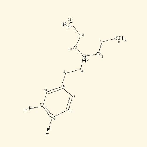 CCO[SiH](CCc1ccc(F)c(F)c1)OCC